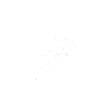 CCc1nc2cccc3c2n1-c1c(-c2c4ccccc4c(-c4ccc5c(c4)C(C)(C)c4ccccc4-5)c4ccccc24)cccc1N3c1ccccc1